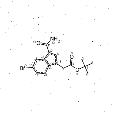 CC(C)(C)OC(=O)Cn1cc(C(N)=O)c2cc(Br)ccc21